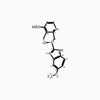 COc1ccnc(C[S@+]([O-])c2nc3cc(OC(F)(F)F)ccc3[nH]2)c1C